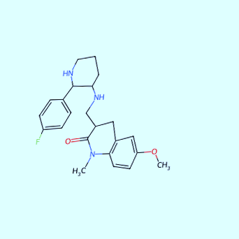 COc1ccc2c(c1)CC(CNC1CCCNC1c1ccc(F)cc1)C(=O)N2C